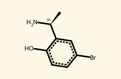 C[C@H](N)c1cc(Br)ccc1O